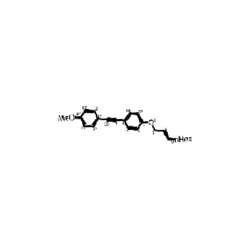 CCCCCCC=CCOc1ccc(C#Cc2ccc(OC)cc2)cc1